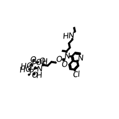 CCNCCCC(C)N(C(=O)OCCCC(=O)NC(P(C)(=O)O)P(=O)(O)O)c1ccnc2cc(Cl)ccc12